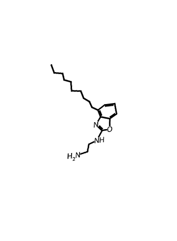 CCCCCCCCCCc1cccc2oc(NCCN)nc12